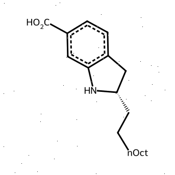 CCCCCCCCCC[C@H]1Cc2ccc(C(=O)O)cc2N1